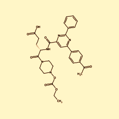 CCOC(=O)ON1CCN(C(=O)[C@H](CCC(=O)O)NC(=O)c2cc(-c3ccc(C(C)=O)cc3)nc(-c3ccccc3)n2)CC1